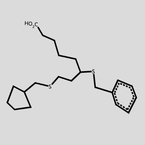 O=C(O)CCCCC(CCSCC1CCCC1)SCc1ccccc1